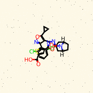 O=C(O)c1cc(-c2nnc(N3[C@@H]4CC[C@H]3C[C@@H](OCc3c(-c5c(Cl)cccc5Cl)noc3C3CC3)C4)o2)cs1